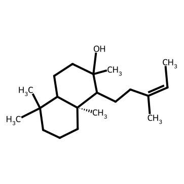 C/C=C(/C)CCC1C(C)(O)CCC2C(C)(C)CCC[C@@]21C